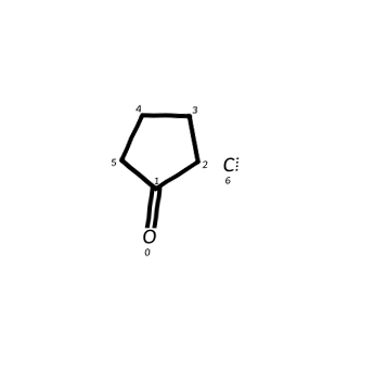 O=C1CCCC1.[C]